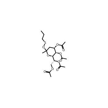 CCCSOC1(C)C[C@@H](OC(C)=O)[C@@H](OC(C)=O)[C@@H]([C@@H](COC(C)=O)OC(C)=O)O1